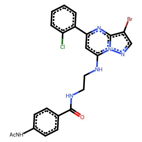 CC(=O)Nc1ccc(C(=O)NCCNc2cc(-c3ccccc3Cl)nc3c(Br)cnn23)cc1